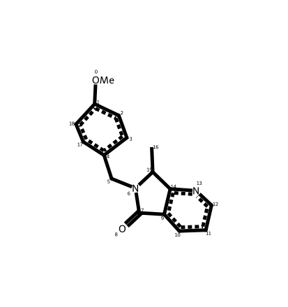 COc1ccc(CN2C(=O)c3cccnc3C2C)cc1